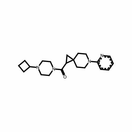 O=C(C1CC12CCN(c1ccccn1)CC2)N1CCN(C2CCC2)CC1